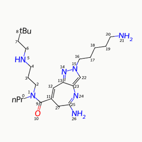 CCCN(CCCNCCC(C)(C)C)C(=O)C1=Cc2nn(CCCCCN)cc2N=C(N)C1